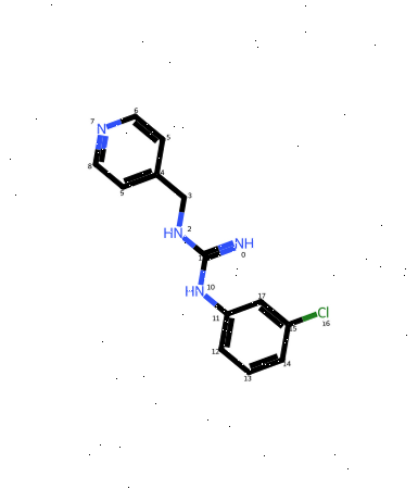 N=C(NCc1ccncc1)Nc1cccc(Cl)c1